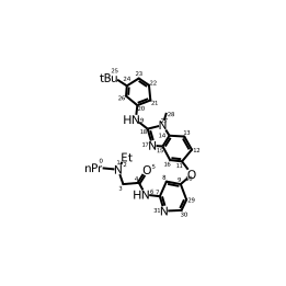 CCCN(CC)CC(=O)Nc1cc(Oc2ccc3c(c2)nc(Nc2cccc(C(C)(C)C)c2)n3C)ccn1